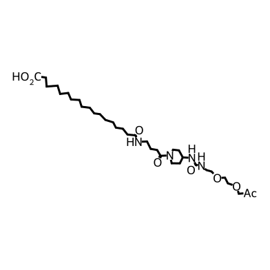 CC(=O)COCCOCCNC(=O)NC1CCN(C(=O)CCCNC(=O)CCCCCCCCCCCCCCCCC(=O)O)CC1